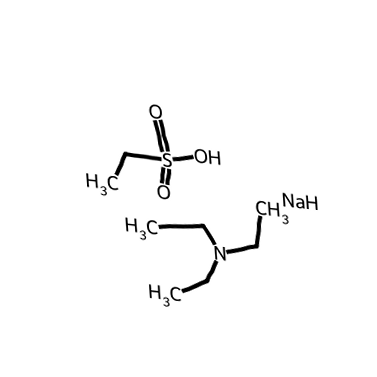 CCN(CC)CC.CCS(=O)(=O)O.[NaH]